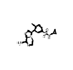 Cc1ccc(S(=O)(=O)NC2CC2)cc1-c1cnc2c(N)nccn12